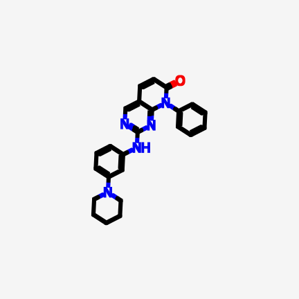 O=c1ccc2cnc(Nc3cccc(N4CCCCC4)c3)nc2n1-c1ccccc1